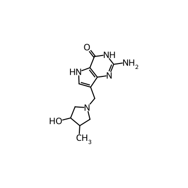 CC1CN(Cc2c[nH]c3c(=O)[nH]c(N)nc23)CC1O